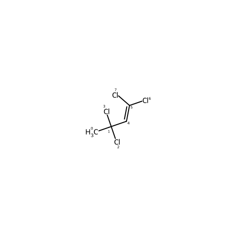 CC(Cl)(Cl)C=C(Cl)Cl